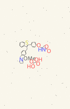 COc1cc(Cc2c(-c3ccc(OCC4COC(=O)N4)cc3)sc3ccccc23)ccc1CN1CCCC1.O=C(O)C(=O)O